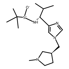 CC(C)[C@@H](N[S+]([O-])C(C)(C)C)c1cn(C[C@H]2CCN(C)C2)cn1